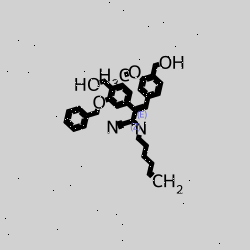 C=CCCCC/N=C(C#N)/C(=C/c1ccc(CO)c(OC)c1)c1ccc(CO)c(OCc2ccccc2)c1